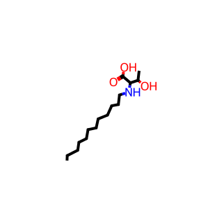 CCCCCCCCCCCCNC(C(=O)O)C(C)O